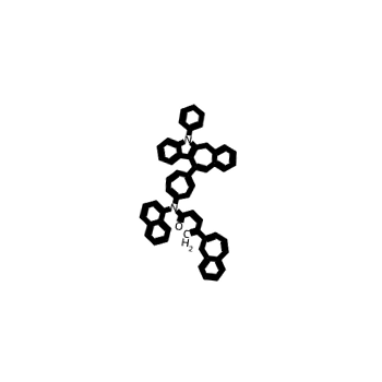 C=C(/C=C\C(=O)N(C1=CC=CC(C2=Cc3ccccc3Cc3c2c2ccccc2n3C2=CCCC=C2)=CC1)c1cccc2ccccc12)C1=CC=Cc2ccccc2C1